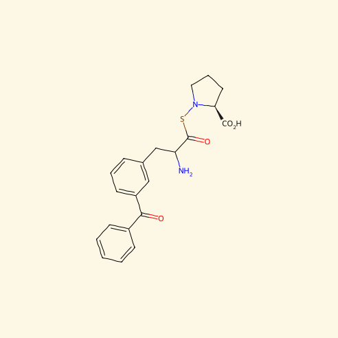 NC(Cc1cccc(C(=O)c2ccccc2)c1)C(=O)SN1CCC[C@H]1C(=O)O